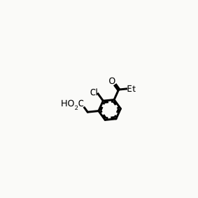 CCC(=O)c1cccc(CC(=O)O)c1Cl